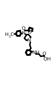 Cc1ccc(N(C(=O)c2ccco2)C2CCN(CCCc3ccccc3NCCCC(=O)O)CC2)cc1